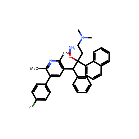 COc1nc(OC)c(C(c2ccccc2)C(CCN(C)C)(ON)c2cccc3ccccc23)cc1-c1ccc(Cl)cc1